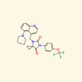 O=C1N(c2ccc(OC(F)(F)F)cc2)C(=O)C2(CC2)N1Cc1ccnc2cccc(N3CCCCC3)c12